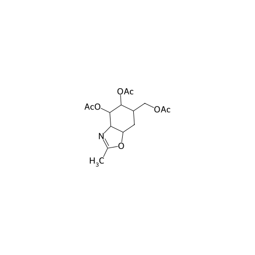 CC(=O)OCC1CC2OC(C)=NC2C(OC(C)=O)C1OC(C)=O